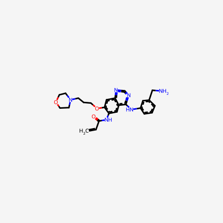 C=CC(=O)Nc1cc2c(Nc3cccc(CN)c3)ncnc2cc1OCCCN1CCOCC1